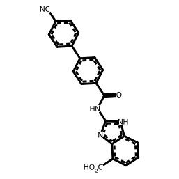 N#Cc1ccc(-c2ccc(C(=O)Nc3nc4c(C(=O)O)cccc4[nH]3)cc2)cc1